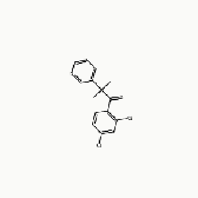 C=C(c1ccc(Cl)cc1Cl)C(C)(C)c1cccnc1